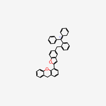 C1=CC/C(=C(/c2ccccc2)c2ccccc2Cc2ccc3oc(-c4cccc5c4Oc4ccccc4C5)cc3c2)C=C1